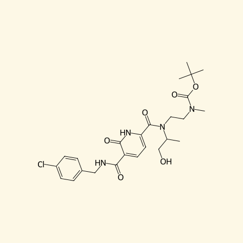 CC(CO)N(CCN(C)C(=O)OC(C)(C)C)C(=O)c1ccc(C(=O)NCc2ccc(Cl)cc2)c(=O)[nH]1